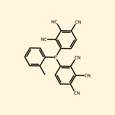 Cc1ccccc1P(c1ccc(C#N)c(C#N)c1C#N)c1ccc(C#N)c(C#N)c1C#N